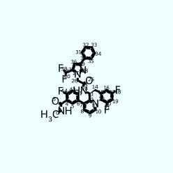 CNC(=O)c1cc(-c2cccnc2[C@H](Cc2cc(F)cc(F)c2)NC(=O)Cn2nc(-c3ccccc3)cc2C(F)F)ccc1F